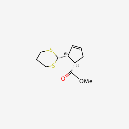 COC(=O)[C@H]1CC=C[C@H]1C1SCCCS1